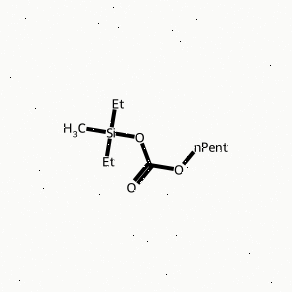 CCCCCOC(=O)O[Si](C)(CC)CC